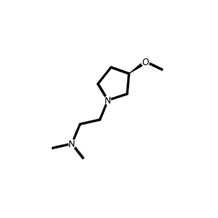 CO[C@@H]1CCN(CCN(C)C)C1